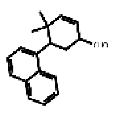 CC1(C)C=CC(C=O)CC1c1cccc2ccccc12